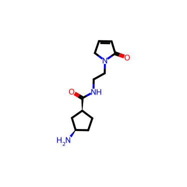 N[C@@H]1CC[C@H](C(=O)NCCN2CC=CC2=O)C1